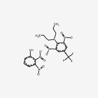 CCCN(CCC)c1c([N+](=O)[O-])cc(C(F)(F)F)cc1[N+](=O)[O-].O=[N+]([O-])c1cccc(O)c1[N+](=O)[O-]